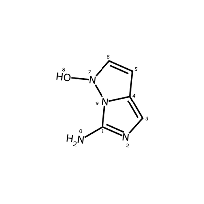 Nc1ncc2ccn(O)n12